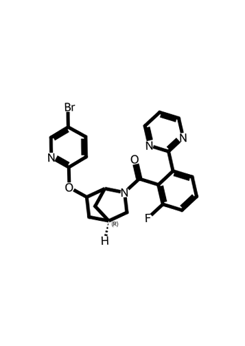 O=C(c1c(F)cccc1-c1ncccn1)N1C[C@H]2CC(Oc3ccc(Br)cn3)C1C2